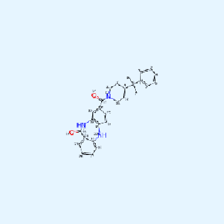 CC(C)(c1ccccc1)C1CCN(C(=O)c2ccc3c(c2)NC(=O)c2ccccc2N3)CC1